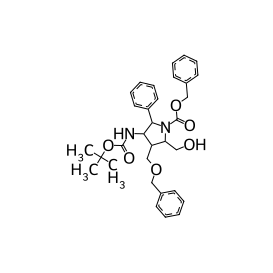 CC(C)(C)OC(=O)NC1C(COCc2ccccc2)C(CO)N(C(=O)OCc2ccccc2)C1c1ccccc1